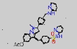 CC(=O)Oc1ccc2c(c1)/c(=C/c1ccc(S(=O)(=O)Nc3ccccn3)cc1)c1n2N(C)C(c2ccc(CNc3ccccn3)cc2)C=1